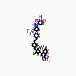 COc1cc(-c2cn(C)c(=O)c3ccccc23)cc(F)c1CC1CCC(CCC2CCN(c3ccc(NC4CCC(=O)NC4=O)cc3C(F)(F)F)CC2)CC1